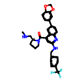 CNC[C@@H]1CCCN1C(=O)c1cc(NCc2ccc(C(F)(F)F)cc2)nc2ccc(-c3ccc4c(c3)OCO4)cc12